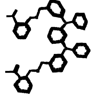 C=C(C)c1ccccc1COCc1cccc(N(c2ccccc2)c2cccc(N(c3ccccc3)c3cccc(COCc4ccccc4C(=C)C)c3)c2)c1